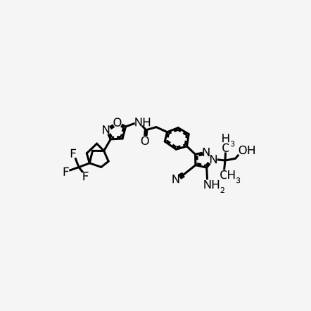 CC(C)(CO)n1nc(-c2ccc(CC(=O)Nc3cc(C45CCC(C(F)(F)F)(CC4)C5)no3)cc2)c(C#N)c1N